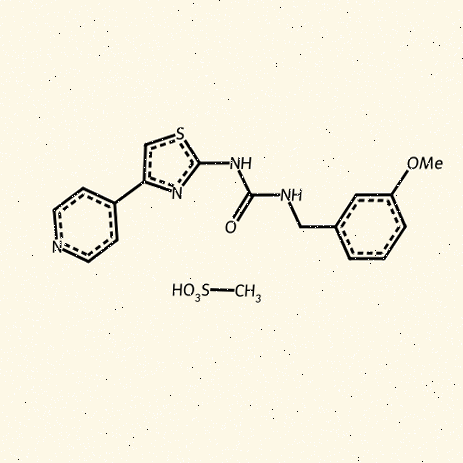 COc1cccc(CNC(=O)Nc2nc(-c3ccncc3)cs2)c1.CS(=O)(=O)O